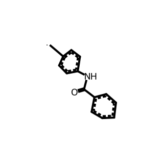 [CH2]c1ccc(NC(=O)c2ccccc2)cc1